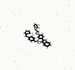 c1ccc2c(OCCc3ccc(CC4CCCC4)cc3)c(-c3ccc(OCCN4CCCC4)cc3)sc2c1